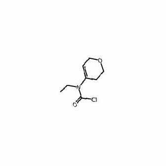 CCN(C(=O)Cl)C1=CCOCC1